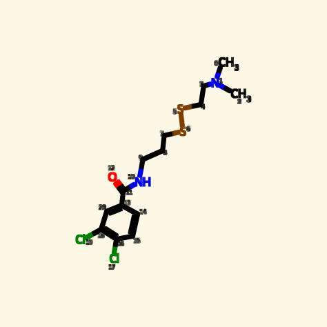 CN(C)CCSSCCCNC(=O)c1ccc(Cl)c(Cl)c1